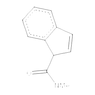 C[N]C(=O)C1C=Cc2ccccc21